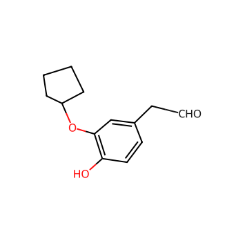 O=CCc1ccc(O)c(OC2CCCC2)c1